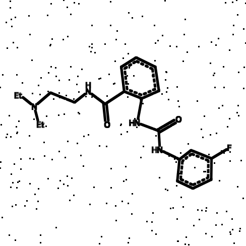 CCN(CC)CCNC(=O)c1ccccc1NC(=O)Nc1cccc(F)c1